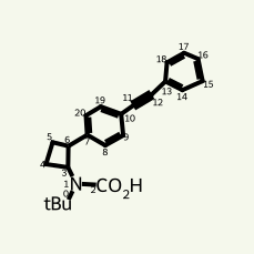 CC(C)(C)N(C(=O)O)C1CCC1c1ccc(C#Cc2ccccc2)cc1